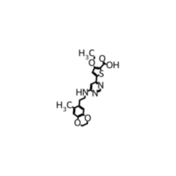 CCOc1cc(-c2cc(NCCc3cc4c(cc3C)OCCO4)ncn2)sc1C(=O)O